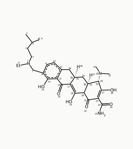 CCN(CCC(C)F)Cc1ccc2c(c1O)C(=O)C1=C(O)C3C(=O)C(C(N)=O)=C(O)[C@@H](N(C)C)[C@@H]3C[C@@H]1C2